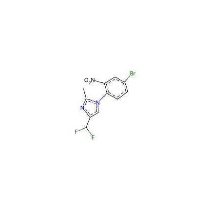 Cc1nc(C(F)F)cn1-c1ccc(Br)cc1[N+](=O)[O-]